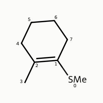 CSC1=C(C)CCCC1